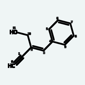 C#CC(=Cc1ccccc1)CO